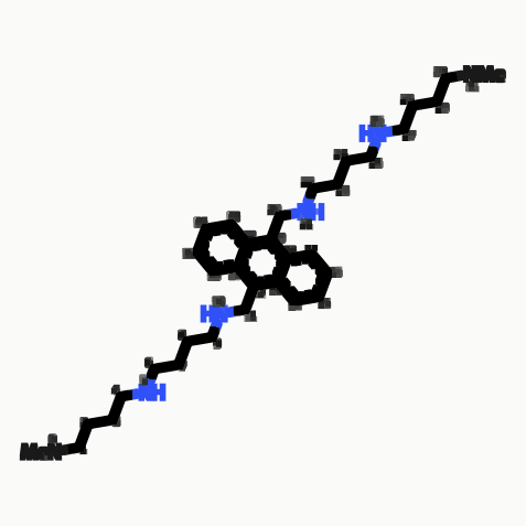 CNCCCCNCCCCNCc1c2ccccc2c(CNCCCCNCCCCNC)c2ccccc12